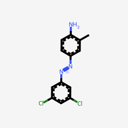 Cc1cc(/N=N/c2cc(Cl)cc(Cl)c2)ccc1N